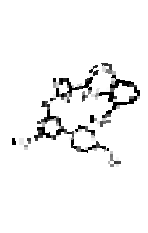 Cc1nc(Nc2ncc(C(=O)Nc3c(C)cccc3Cl)s2)cc(N2CCC(CO)CC2)n1